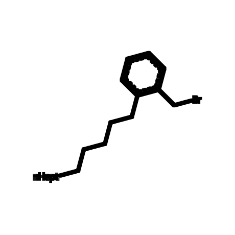 CCCCCCCCCCCCc1ccccc1CBr